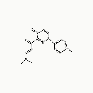 Cc1ccc(-n2ccc(=O)c(C(=O)C=CN(C)C)n2)cc1